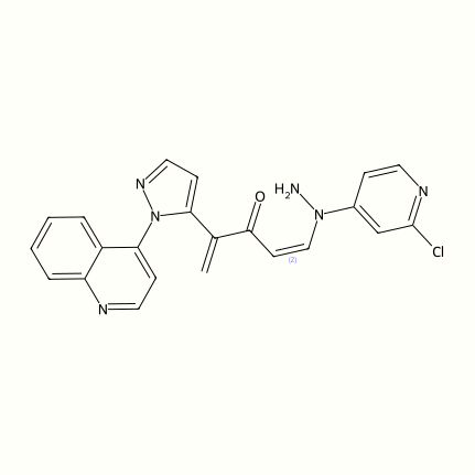 C=C(C(=O)/C=C\N(N)c1ccnc(Cl)c1)c1ccnn1-c1ccnc2ccccc12